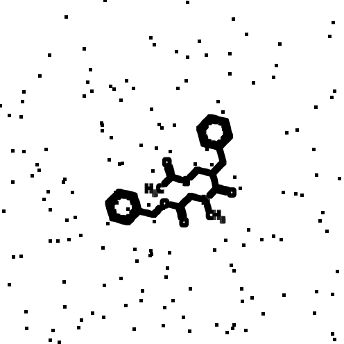 CC(=O)SCC(Cc1ccccc1)C(=O)N(C)CC(=O)OCc1ccccc1